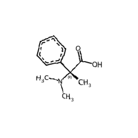 CN(C)[C@@](C)(C(=O)O)c1ccccc1